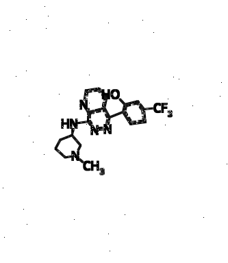 CN1CCC[C@@H](Nc2nnc(-c3ccc(C(F)(F)F)cc3O)c3cccnc23)C1